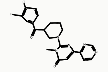 Cn1c(N2CCCC(C(=O)c3ccc(Cl)c(F)c3)C2)nc(-c2ccncn2)cc1=O